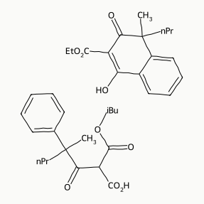 CCCC(C)(C(=O)C(C(=O)O)C(=O)OC(C)CC)c1ccccc1.CCCC1(C)C(=O)C(C(=O)OCC)=C(O)c2ccccc21